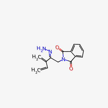 C=CC(=C)/C(CN1C(=O)c2ccccc2C1=O)=N\N